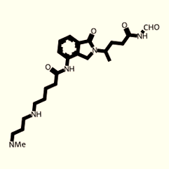 CNCCCNCCCCC(=O)Nc1cccc2c1CN(C(C)CCC(=O)NC=O)C2=O